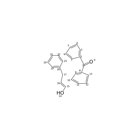 O=C(c1ccccc1)c1ccccc1.OC=CCc1ccccc1